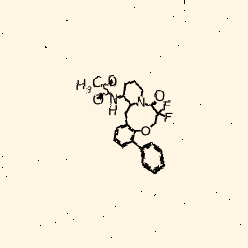 CS(=O)(=O)NC1CCCN2C(=O)C(F)(F)COc3c(cccc3-c3ccccc3)CC12